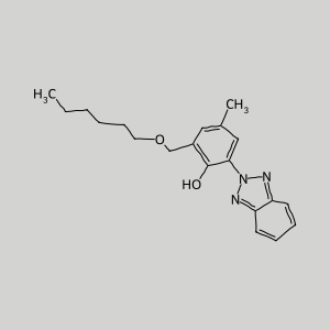 CCCCCCOCc1cc(C)cc(-n2nc3ccccc3n2)c1O